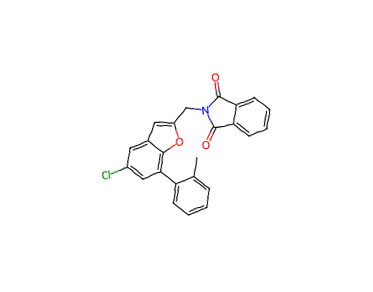 Cc1ccccc1-c1cc(Cl)cc2cc(CN3C(=O)c4ccccc4C3=O)oc12